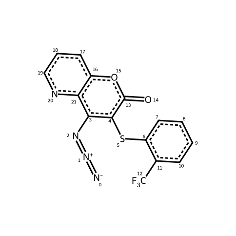 [N-]=[N+]=Nc1c(Sc2ccccc2C(F)(F)F)c(=O)oc2cccnc12